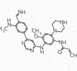 C=CC(=O)Nc1cc(Nc2cc(-c3ccc(C=N)c(NC)c3)ncn2)c(OC)cc1N1CCNCC1